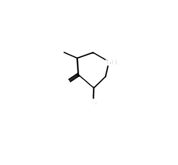 O=C1C(Br)CNCC1Br